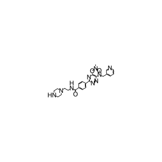 Cn1oc2nc(-c3ccc(C(=O)NCCN4CCNCC4)cc3)nnc2n(Cc2cccnc2)o1